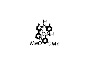 COc1cc(OC)cc(C(=O)Nc2ccc(C)c(Nc3nccc(-c4cccnc4)n3)c2)c1